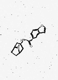 CN1C2CCC1CC(NC(=O)c1ccc3occc3c1)C2